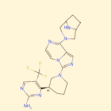 Nc1ncc(C(F)(F)F)c([C@@H]2CCCN(c3ncc4c(N5CC6CCC(C5)N6)nccn34)C2)n1